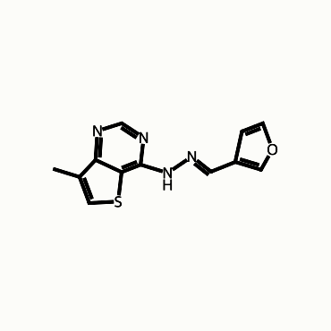 Cc1csc2c(NN=Cc3ccoc3)ncnc12